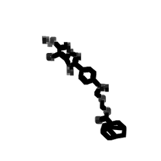 Cc1nn2nc(-c3ccc(NCOCOC(=O)C45CC6CC(CC(C6)C4)C5)cc3)[nH]c2c1Cl